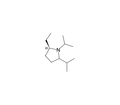 CC[C@@H]1CCC(C(C)C)N1C(C)C